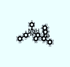 c1ccc(C2=NC(c3ccc(-c4ccccc4)cc3)=NC(c3ccc(-c4ccc(-c5ccccc5)c5oc6cc7ccccc7cc6c45)c4ccccc34)N2)cc1